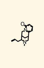 C=CCC1C2CC(CN1C)c1cccc(=O)n1C2